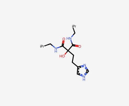 CC(C)CNC(=O)C(O)(CCc1c[nH]cn1)C(=O)NCC(C)C